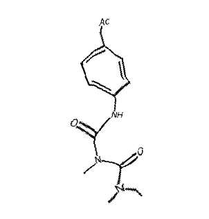 CC(=O)c1ccc(NC(=O)N(C)C(=O)N(C)C)cc1